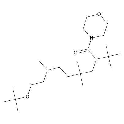 CC(CCOC(C)(C)C)CCC(C)(C)CC(C(=O)N1CCOCC1)C(C)(C)C